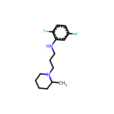 CC1CCCCN1CCCNc1cc(F)c[c]c1F